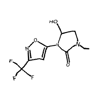 CN1CC(O)N(c2cc(C(F)(F)F)no2)C1=O